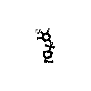 CCCCCc1ccc(C(F)(F)Oc2cc(F)c(C(F)(F)F)c(F)c2)cc1